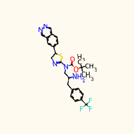 CC(C)(C)OC(=O)N(CC(N)Cc1ccc(C(F)(F)F)cc1)C1=NCC(c2ccc3cnncc3c2)S1